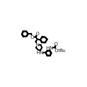 CC(C)(C)OC(=O)Nc1cccc(NC2CCN(CC(C(=O)OCc3ccccc3)c3ccccc3)CC2)c1